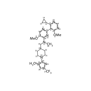 COc1cnc(-c2c(OC)ncnc2C2CC2)nc1N(C)CC1CCN(c2nc(C(F)(F)F)cn2C)CC1